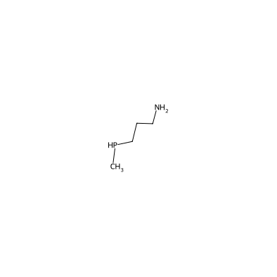 CPCCCN